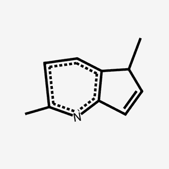 Cc1ccc2c(n1)C=CC2C